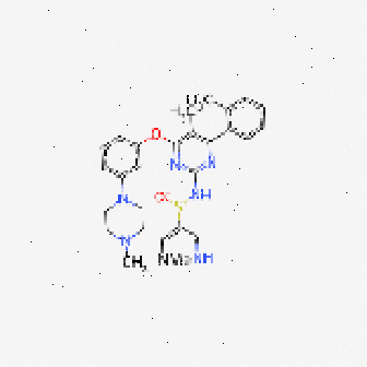 CN/C=C(\C=N)[S+]([O-])Nc1nc(Oc2cccc(N3CCN(C)CC3)c2)c(C)c(-c2ccccc2C)n1